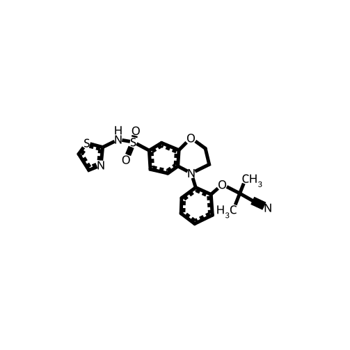 CC(C)(C#N)Oc1ccccc1N1CCOc2cc(S(=O)(=O)Nc3nccs3)ccc21